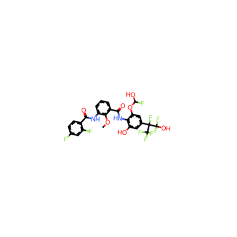 COc1c(NC(=O)c2ccc(F)cc2F)cccc1C(=O)Nc1c(O)cc(C(F)(C(O)(F)F)C(F)(F)F)cc1OC(O)F